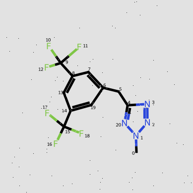 Cn1nnc(Cc2cc(C(F)(F)F)cc(C(F)(F)F)c2)n1